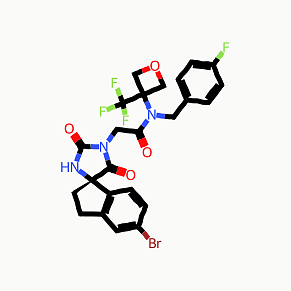 O=C1N[C@]2(CCc3cc(Br)ccc32)C(=O)N1CC(=O)N(Cc1ccc(F)cc1)C1(C(F)(F)F)COC1